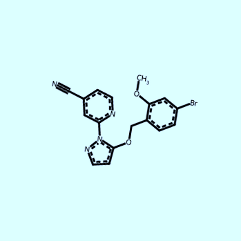 COc1cc(Br)ccc1COc1ccnn1-c1cc(C#N)ccn1